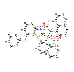 OC(=S)C(c1cccc2ccccc12)C(C(O)=S)(c1nc2cccc(Cc3ccccc3)c2s1)c1cccc2ccccc12